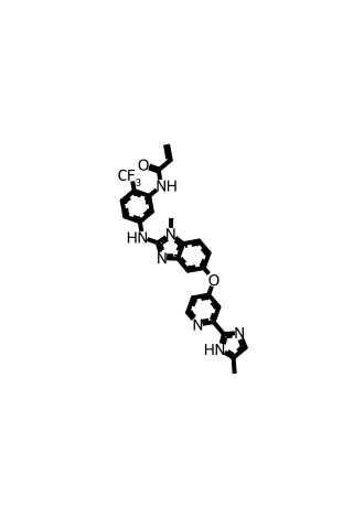 C=CC(=O)Nc1cc(Nc2nc3cc(Oc4ccnc(-c5ncc(C)[nH]5)c4)ccc3n2C)ccc1C(F)(F)F